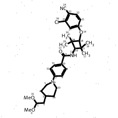 COC(CC1CCN(c2ccc(C(=O)NC3C(C)(C)C(Oc4ccc(C#N)c(Cl)c4)C3(C)C)cc2)CC1)OC